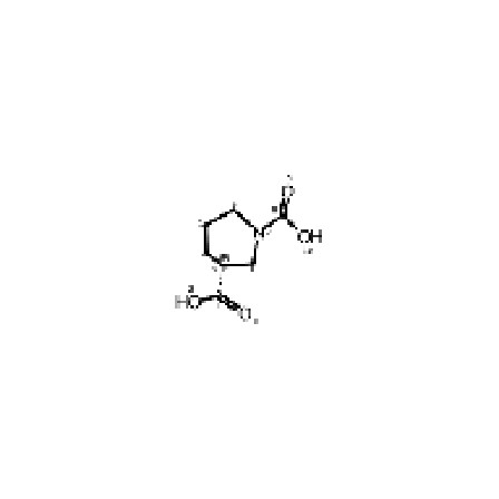 O=C(O)[C@@H]1CCCN(C(=O)O)C1